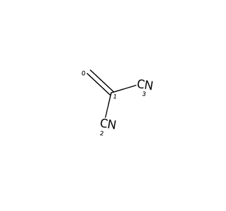 C=C(C#N)C#N